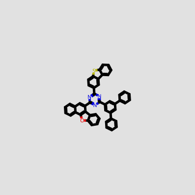 c1ccc(-c2cc(-c3ccccc3)cc(-c3nc(-c4ccc5sc6ccccc6c5c4)nc(-c4cc5ccccc5c5oc6ccccc6c45)n3)c2)cc1